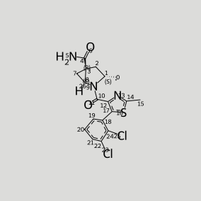 [CH2][C@H]1C[C@@]2(C(N)=O)C[C@@H]2N1C(=O)c1nc(C)sc1-c1cccc(Cl)c1Cl